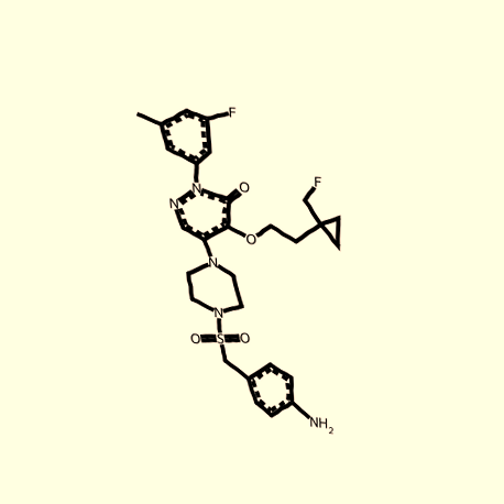 Cc1cc(F)cc(-n2ncc(N3CCN(S(=O)(=O)Cc4ccc(N)cc4)CC3)c(OCCC3(CF)CC3)c2=O)c1